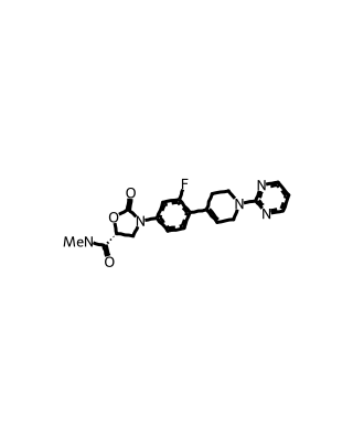 CNC(=O)[C@H]1CN(c2ccc(C3=CCN(c4ncccn4)CC3)c(F)c2)C(=O)O1